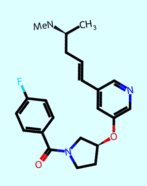 CN[C@@H](C)C/C=C/c1cncc(O[C@H]2CCN(C(=O)c3ccc(F)cc3)C2)c1